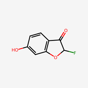 O=C1c2ccc(O)cc2OC1F